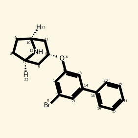 Brc1cc(O[C@@H]2C[C@H]3CC[C@@H](C2)N3)cc(-c2ccccc2)c1